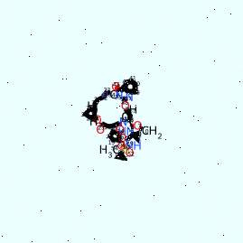 C=C[C@@H]1C[C@]1(NC(=O)[C@@H]1C[C@@H]2CN1C(=O)[C@H](C1CCCC1)CC(=O)O[C@@H]1CCC[C@H]1CC/C=C/Cn1c(nc3ccccc3c1=O)O2)C(=O)NS(=O)(=O)C1(C)CC1